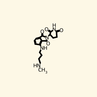 CNCCCCNc1cccc2c1C(=O)N(C1CCC(=O)NC1=O)C2=O